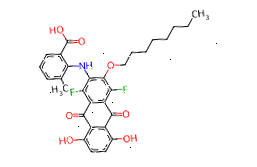 CCCCCCCCOc1c(F)c2c(c(F)c1Nc1c(C)cccc1C(=O)O)C(=O)c1c(O)ccc(O)c1C2=O